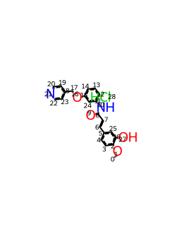 COc1ccc(C=CC(=O)Nc2cccc(OCc3ccncc3)c2)cc1O.Cl